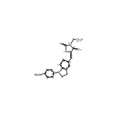 CSc1ccc(N2CCc3cc(/C=C4\SC(=S)N(CC(=O)O)C4=O)ccc32)cc1